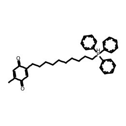 CC1=CC(=O)C(CCCCCCCCCC[PH](c2ccccc2)(c2ccccc2)c2ccccc2)=CC1=O